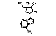 Nc1ncnn2c([C@@H]3O[C@](O)(CO)[C@@H](O)[C@H]3F)ccc12